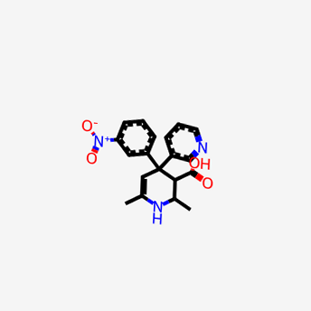 CC1=CC(c2cccnc2)(c2cccc([N+](=O)[O-])c2)C(C(=O)O)C(C)N1